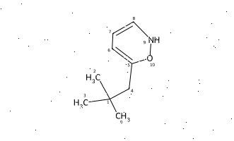 CC(C)(C)CC1=CC=CNO1